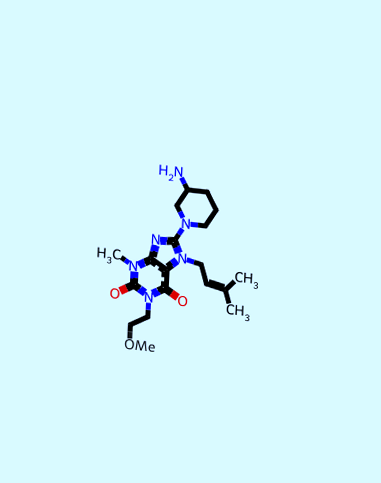 COCCn1c(=O)c2c(nc(N3CCCC(N)C3)n2CC=C(C)C)n(C)c1=O